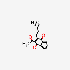 CCCCCC1=C(C(C)=O)C(=O)c2ccccc2C1=O